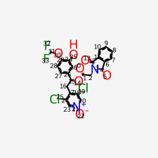 O=C(CN1C(=O)c2ccccc2C1=O)OC(Cc1c(Cl)c[n+]([O-])cc1Cl)c1ccc(OC(F)F)c(O)c1